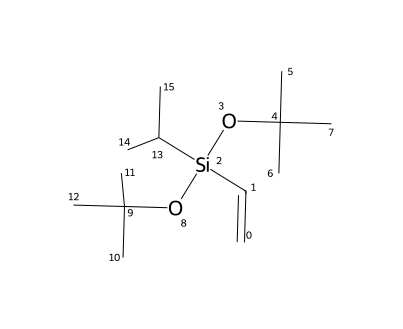 C=C[Si](OC(C)(C)C)(OC(C)(C)C)C(C)C